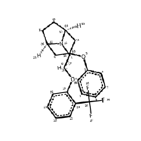 C[C@]1(Oc2ccccc2)C[C@H]2CC[C@@H](C1)N2CCOc1ccccc1C(F)(F)F